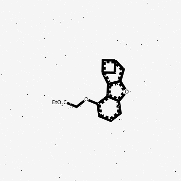 CCOC(=O)COc1cccc2oc3cc4cc(c3c12)C4